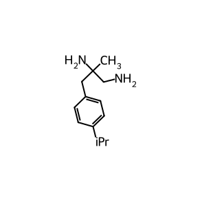 CC(C)c1ccc(CC(C)(N)CN)cc1